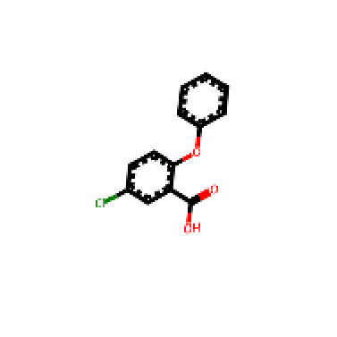 O=C(O)c1cc(Cl)ccc1Oc1ccccc1